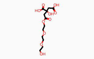 O=C(O)CC(O)(CC(=O)OCCOCCOCCO)C(=O)O